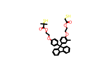 Cc1cc(C2(c3ccc(OCCOC(=O)C(C)(C)S)cc3)c3ccccc3-c3ccccc32)ccc1OCCOC(=O)CS